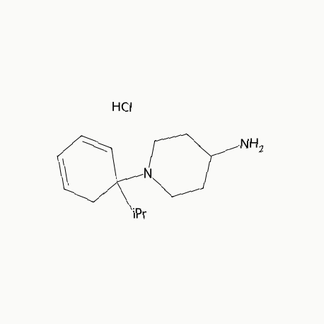 CC(C)C1(N2CCC(N)CC2)C=CC=CC1.Cl